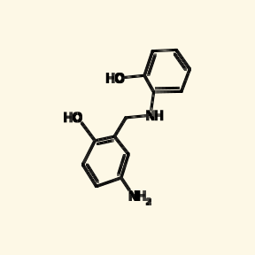 Nc1ccc(O)c(CNc2ccccc2O)c1